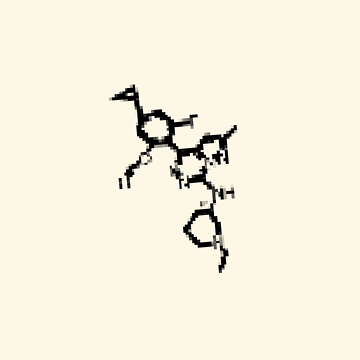 CCN1CCC[C@@H](Nc2nnc(-c3c(F)cc(C4CC4)cc3OC=O)c3cc(C)nn23)C1